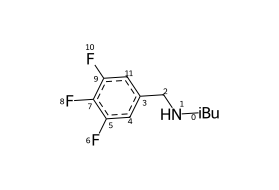 CCC(C)NCc1cc(F)c(F)c(F)c1